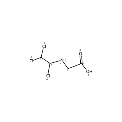 O=C(O)CNC(Cl)C(Cl)Cl